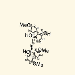 COc1cccc(C(O)(C#CC#CC(O)(c2cccc(OC)c2)c2cccc(OC)c2)c2cccc(CO)c2)c1